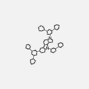 c1ccc(-c2cc(-c3ccccc3)cc(-c3ccc4c(c3)c3ccc5c(ccn5-c5cc(-c6ccccc6)cc(-c6ccccc6)c5)c3n4-c3cccc(-c4ccccc4)c3)c2)cc1